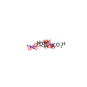 C[C@@H]1C[C@H](CN(CC(=O)O)S(C)(=O)=O)O[C@H]2[C@H]1[C@@]1(C)CC[C@@]34CC35CCC(O[C@H]3CN(C(=O)CC6CC6)CCO3)C(C)(C)[C@@H]5CC[C@H]4[C@]1(C)[C@H]2O